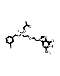 CC(=O)COP(=O)(CCOCCn1cnc2c(=O)[nH]c(N)nc21)OCc1cccc(F)c1